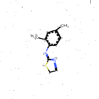 Cc1ccc(N=C2N=CCS2)c(C)c1